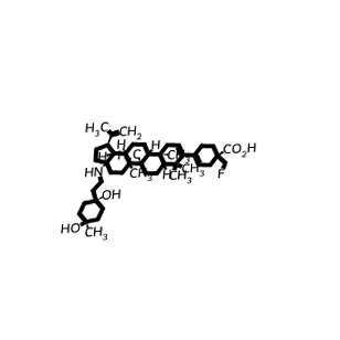 C=C(C)[C@@H]1CC[C@]2(NCC[C@]3(O)CC[C@](C)(O)CC3)CC[C@]3(C)[C@H](CC[C@@H]4[C@@]5(C)CC=C(C6=CC[C@](CF)(C(=O)O)CC6)C(C)(C)[C@@H]5CC[C@]43C)[C@@H]12